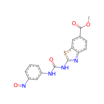 COC(=O)c1ccc2nc(NC(=O)Nc3cccc(N=O)c3)sc2c1